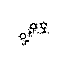 CNC(=O)c1cc(Oc2ccc3nc(N[C@@H]4CC=CC[C@H]4C(N)=O)sc3c2)ccn1